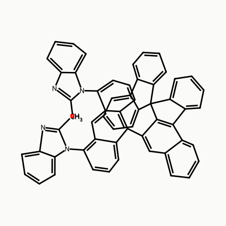 Cc1nc2ccccc2n1-c1cccc2c(-c3cc4ccccc4c4c3C3(c5ccccc5-c5ccccc53)c3ccccc3-4)c3cccc(-n4c(C)nc5ccccc54)c3cc12